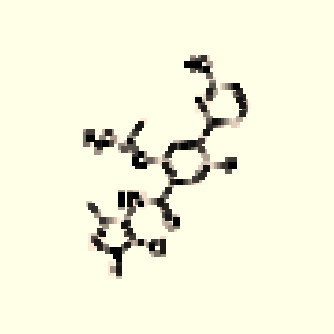 Cc1n[nH]c(Cl)c1NC(=O)c1cc(F)c(-c2cccc(O)n2)cc1O[C@@H](C)C(F)(F)F